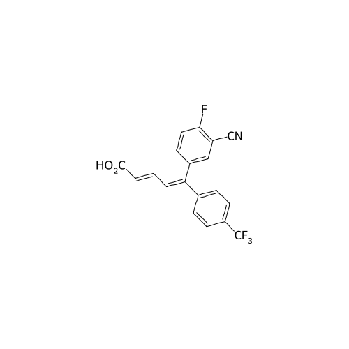 N#Cc1cc(/C(=C\C=C\C(=O)O)c2ccc(C(F)(F)F)cc2)ccc1F